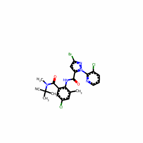 Cc1cc(Cl)cc(C(=O)N(C)C(C)(C)C#N)c1NC(=O)c1cc(Br)nn1-c1ncccc1Cl